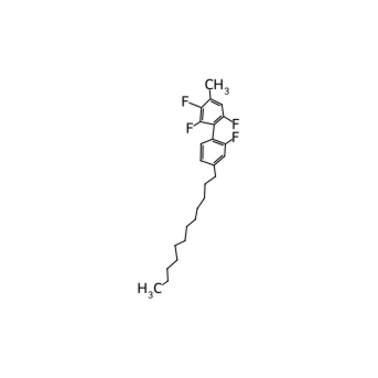 CCCCCCCCCCCCc1ccc(-c2c(F)cc(C)c(F)c2F)c(F)c1